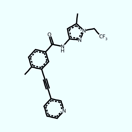 Cc1ccc(C(=O)Nc2cc(C)n(CC(F)(F)F)n2)cc1C#Cc1cccnc1